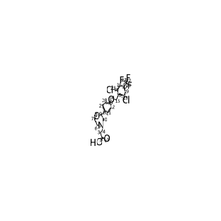 O=C(O)CCN1CCOC(c2ccc(OCc3c(Cl)cc(C(F)(F)F)cc3Cl)cc2)C1